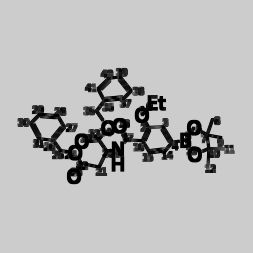 CCOc1cc(B2OC(C)(C)C(C)(C)O2)ccc1C(=O)NC(CC(=O)OCc1ccccc1)C(=O)OCc1ccccc1